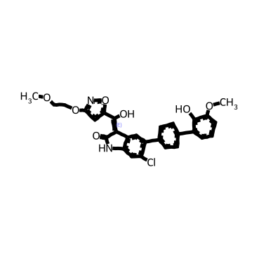 COCCOc1cc(/C(O)=C2\C(=O)Nc3cc(Cl)c(-c4ccc(-c5cccc(OC)c5O)cc4)cc32)on1